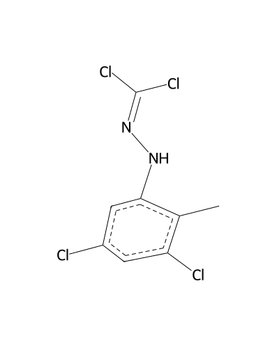 Cc1c(Cl)cc(Cl)cc1NN=C(Cl)Cl